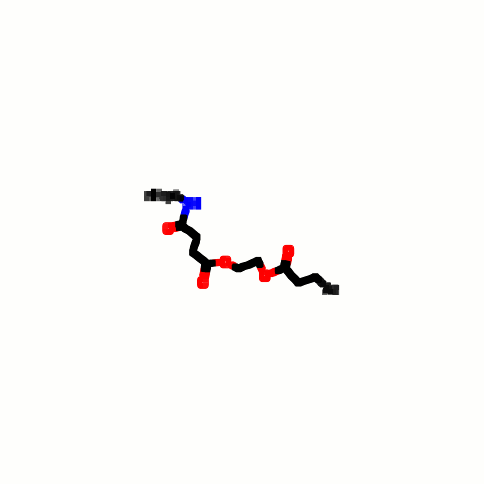 CCCCCCCNC(=O)CCC(=O)OCCOC(=O)CCC(C)=O